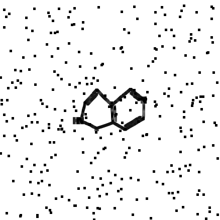 [C]1NC=Cc2cnccc21